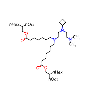 CCCCCCCCC(CCCCCC)COC(=O)CCCCCCN(CCCCCCC(=O)OCC(CCCCCC)CCCCCCCC)CCN(CCN(C)C)C1CCC1